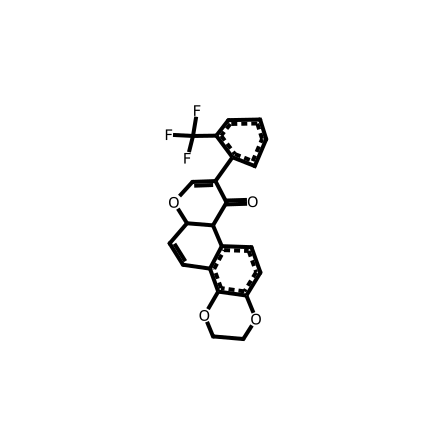 O=C1C(c2ccccc2C(F)(F)F)=COC2C=Cc3c(ccc4c3OCCO4)C12